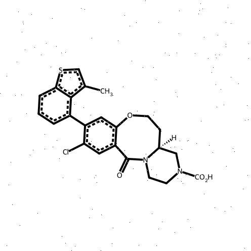 Cc1csc2cccc(-c3cc4c(cc3Cl)C(=O)N3CCN(C(=O)O)C[C@@H]3CCO4)c12